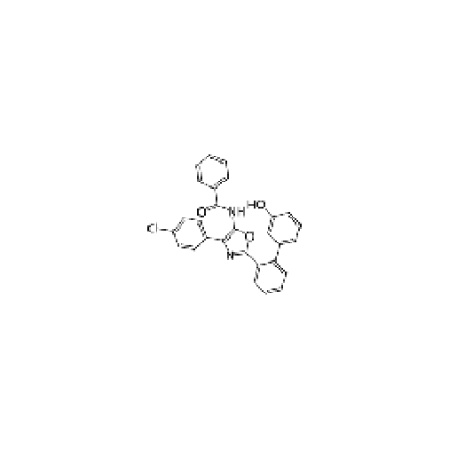 O=C(Nc1oc(-c2ccccc2-c2cccc(O)c2)nc1-c1ccc(Cl)cc1)c1ccccc1